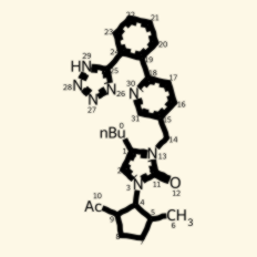 CCCCc1cn(C2C(C)CCC2C(C)=O)c(=O)n1Cc1ccc(-c2ccccc2-c2nnn[nH]2)nc1